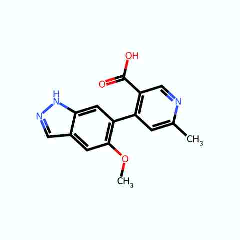 COc1cc2cn[nH]c2cc1-c1cc(C)ncc1C(=O)O